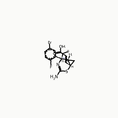 NC1=N[C@](CF)(c2cc(Br)ccc2F)[C@@H]2C[C@]2(/C=C/C(=O)O)S1